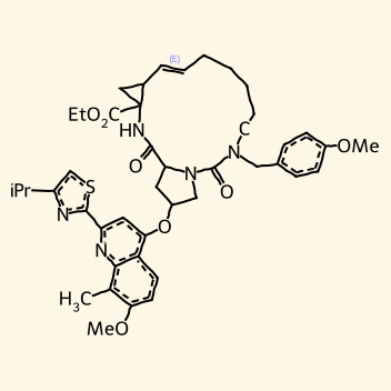 CCOC(=O)C12CC1/C=C/CCCCCN(Cc1ccc(OC)cc1)C(=O)N1CC(Oc3cc(-c4nc(C(C)C)cs4)nc4c(C)c(OC)ccc34)CC1C(=O)N2